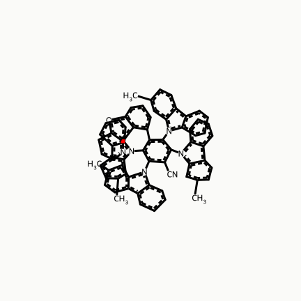 Cc1ccc2c3ccccc3n(-c3c(C#N)c(-n4c5ccccc5c5ccc(C)cc54)c(-n4c5ccccc5c5ccc(C)cc54)c(-c4cccc5oc6cccnc6c45)c3-n3c4ccccc4c4ccc(C)cc43)c2c1